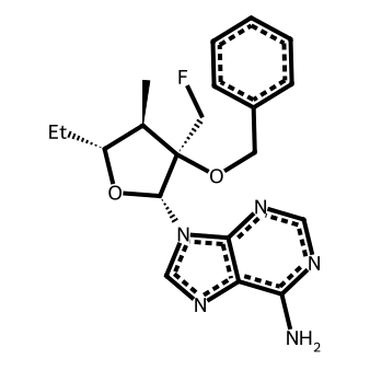 CC[C@H]1O[C@@H](n2cnc3c(N)ncnc32)[C@](CF)(OCc2ccccc2)[C@@H]1C